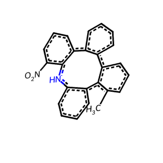 Cc1cccc2c3ccccc3c3cccc([N+](=O)[O-])c3[nH]c3ccccc3c12